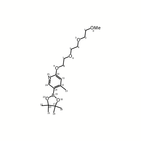 COCCOCCOCCOc1cc(C)c(B2OC(C)(C)C(C)(C)O2)cn1